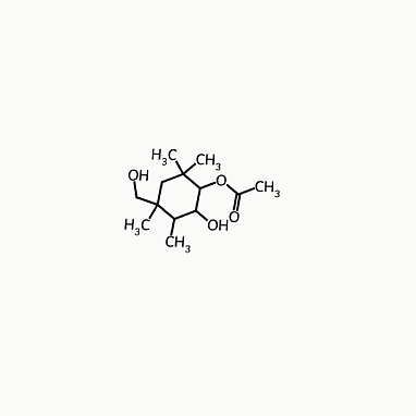 CC(=O)OC1C(O)C(C)C(C)(CO)CC1(C)C